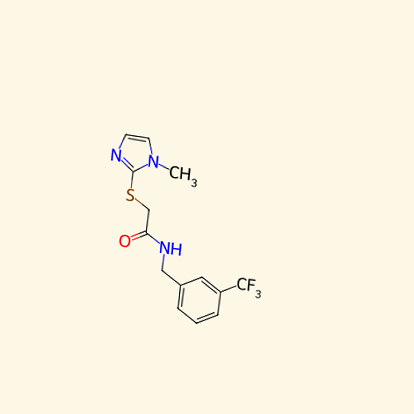 Cn1ccnc1SCC(=O)NCc1cccc(C(F)(F)F)c1